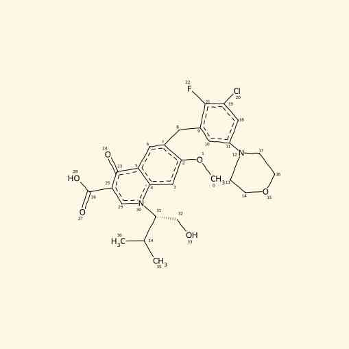 COc1cc2c(cc1Cc1cc(N3CCOCC3)cc(Cl)c1F)c(=O)c(C(=O)O)cn2[C@H](CO)C(C)C